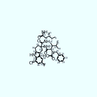 CC[C@H](C)[C@H](NC(=O)[C@@]1(NC(=O)C(C(C)C(C)F)N(Cc2ccccc2)C(=O)O)CCc2[nH]c3c(Cl)cc(F)cc3c2C1)C(N)=O